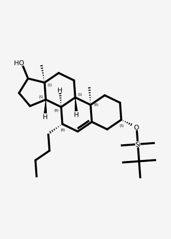 CCCC[C@H]1C=C2C[C@@H](O[Si](C)(C)C(C)(C)C)CC[C@]2(C)[C@H]2CC[C@]3(C)C(O)CC[C@H]3[C@H]12